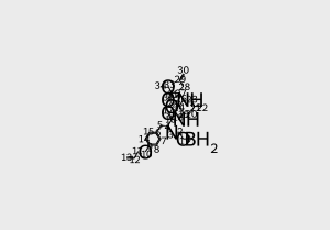 BOC=N[C@@H](Cc1ccc(OCC=C)cc1)C(=O)N[C@@H](CC(C)C)C(=O)N[C@@H](CC=C)C(=O)OC